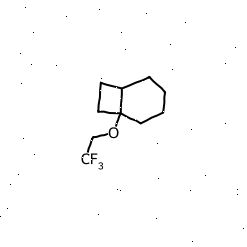 FC(F)(F)COC12CCCCC1CC2